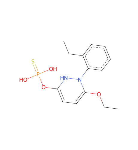 CCOC1=CC=C(OP(O)(O)=S)NN1c1ccccc1CC